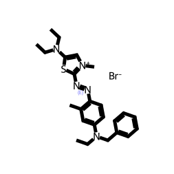 CCN(Cc1ccccc1)c1ccc(/N=N/c2sc(N(CC)CC)c[n+]2C)c(C)c1.[Br-]